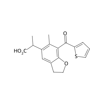 Cc1c(C(C)C(=O)O)cc2c(c1C(=O)c1cccs1)OCC2